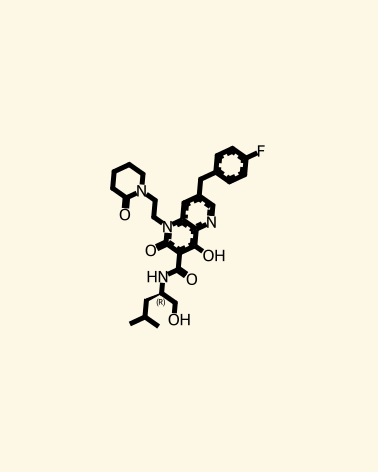 CC(C)C[C@H](CO)NC(=O)c1c(O)c2ncc(Cc3ccc(F)cc3)cc2n(CCN2CCCCC2=O)c1=O